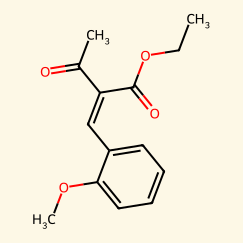 CCOC(=O)C(=Cc1ccccc1OC)C(C)=O